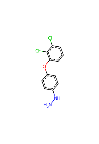 NNc1ccc(Oc2cccc(Cl)c2Cl)cc1